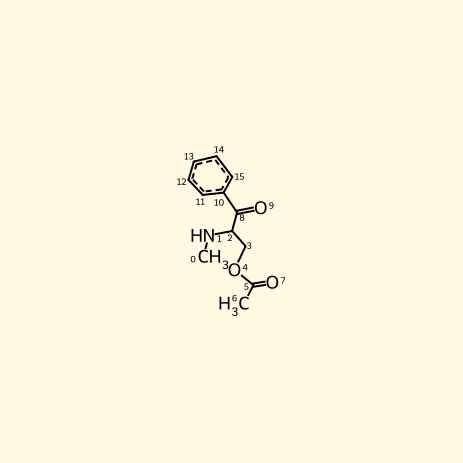 CNC(COC(C)=O)C(=O)c1ccccc1